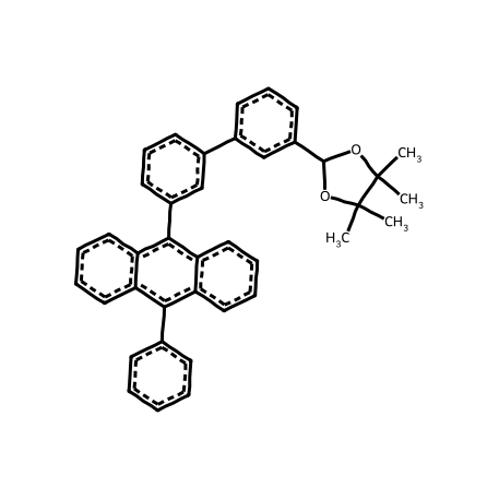 CC1(C)OC(c2cccc(-c3cccc(-c4c5ccccc5c(-c5ccccc5)c5ccccc45)c3)c2)OC1(C)C